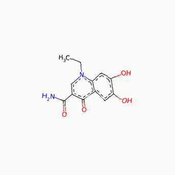 CCn1cc(C(N)=O)c(=O)c2cc(O)c(O)cc21